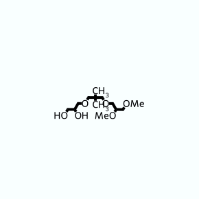 COCC(COCC(C)(C)COCC(O)CO)OC